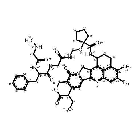 CCC1C(=O)OCc2c1cc1n(c2=O)Cc2c-1nc1cc(F)c(C)c3c1c2C(NC(=O)C1(OCNC(=O)CNC(=O)C(Cc2ccccc2)NC(=O)CNC)CCCC1)CC3